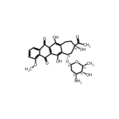 COc1cccc2c1C(=O)c1c(O)c3c(c(O)c1C2=O)CC[C@](O)(C(C)=O)C[C@@H]3O[C@H]1C[C@H](N)[C@H](O)[C@H](C)O1